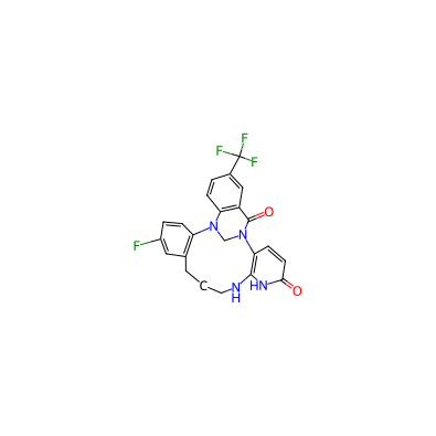 O=C1c2cc(C(F)(F)F)ccc2N2CN1c1ccc(=O)[nH]c1NCCCc1cc(F)ccc12